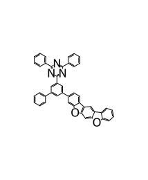 c1ccc(-c2cc(-c3ccc4c(c3)oc3cc5oc6ccccc6c5cc34)cc(-c3nc(-c4ccccc4)nc(-c4ccccc4)n3)c2)cc1